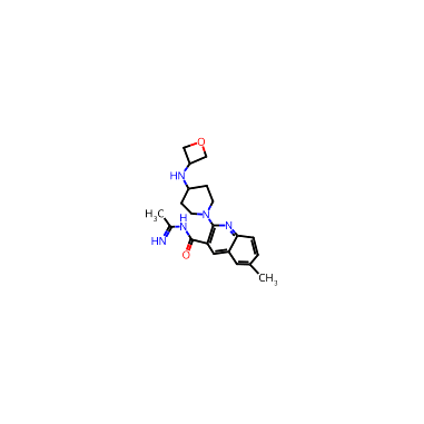 CC(=N)NC(=O)c1cc2cc(C)ccc2nc1N1CCC(NC2COC2)CC1